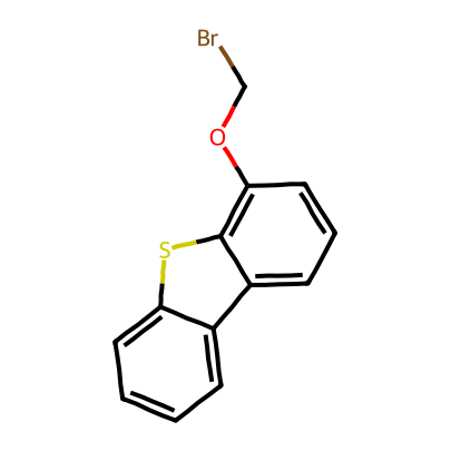 BrCOc1cccc2c1sc1ccccc12